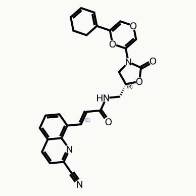 N#Cc1ccc2cccc(/C=C/C(=O)NC[C@@H]3CN(C4=COC=C(C5=CC=CCC5)O4)C(=O)O3)c2n1